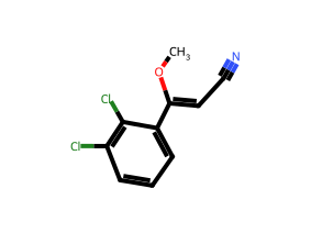 COC(=CC#N)c1cccc(Cl)c1Cl